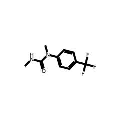 CNC(=O)N(C)c1ccc(C(F)(F)F)cc1